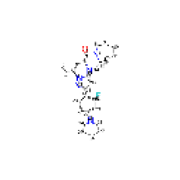 CCc1cc(C(=O)N2CCCCCC2C)nc2cc(-c3ccc(N4CCCCC4)cc3F)nn12